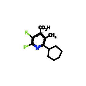 Cc1c(C2CCCCC2)nc(F)c(F)c1C(=O)O